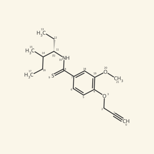 C#CCOc1ccc(C(=S)N[C@@H](CC)C(C)CC)cc1OC